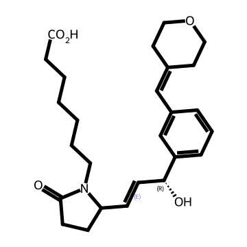 O=C(O)CCCCCCN1C(=O)CCC1/C=C/[C@@H](O)c1cccc(C=C2CCOCC2)c1